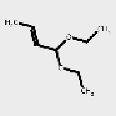 C/C=C/C(OCC)OCC